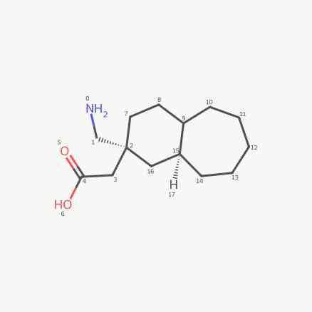 NC[C@]1(CC(=O)O)CCC2CCCCC[C@H]2C1